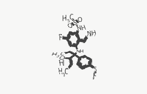 CCC(O)C(CC)(Nc1cc(F)cc(NS(C)(=O)=O)c1C=N)c1ccc(SF)cc1